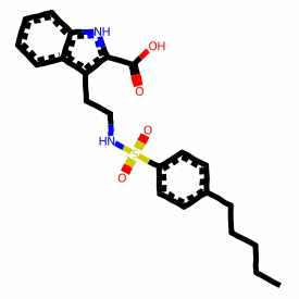 CCCCCc1ccc(S(=O)(=O)NCCc2c(C(=O)O)[nH]c3ccccc23)cc1